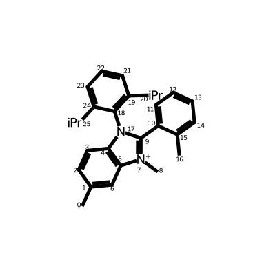 Cc1ccc2c(c1)[n+](C)c(-c1ccccc1C)n2-c1c(C(C)C)cccc1C(C)C